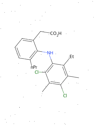 CCCc1cccc(CC(=O)O)c1Nc1c(Cl)c(C)c(Cl)c(C)c1CC